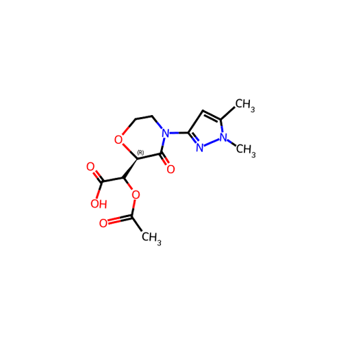 CC(=O)OC(C(=O)O)[C@H]1OCCN(c2cc(C)n(C)n2)C1=O